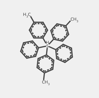 Cc1ccc([SH](c2ccccc2)(c2ccccc2)(c2ccc(C)cc2)c2ccc(C)cc2)cc1